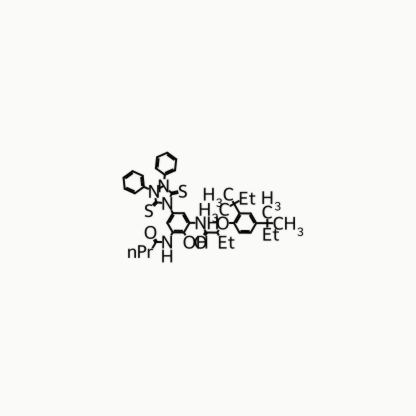 CCCC(=O)Nc1cc(-n2c(=S)n(-c3ccccc3)n(-c3ccccc3)c2=S)cc(NC(=O)C(CC)Oc2ccc(C(C)(C)CC)cc2C(C)(C)CC)c1O